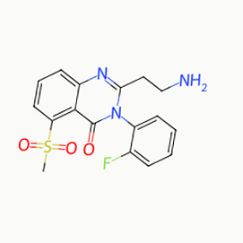 CS(=O)(=O)c1cccc2nc(CCN)n(-c3ccccc3F)c(=O)c12